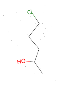 CC(O)CCCCl